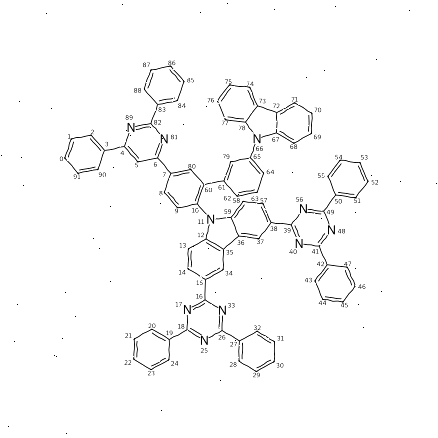 c1ccc(-c2cc(-c3ccc(-n4c5ccc(-c6nc(-c7ccccc7)nc(-c7ccccc7)n6)cc5c5cc(-c6nc(-c7ccccc7)nc(-c7ccccc7)n6)ccc54)c(-c4cccc(-n5c6ccccc6c6ccccc65)c4)c3)nc(-c3ccccc3)n2)cc1